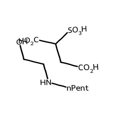 CCCCCNCCO.O=C(O)CC(C(=O)O)S(=O)(=O)O